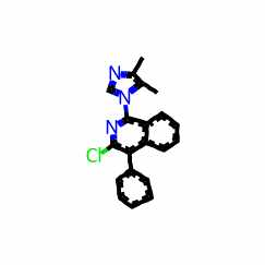 Cc1ncn(-c2nc(Cl)c(-c3ccccc3)c3ccccc23)c1C